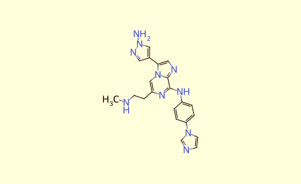 CNCCc1cn2c(-c3cnn(N)c3)cnc2c(Nc2ccc(-n3ccnc3)cc2)n1